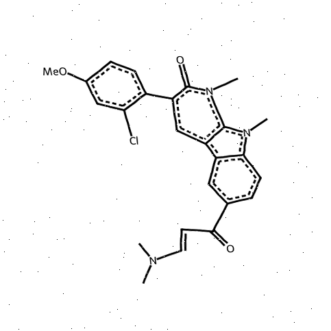 COc1ccc(-c2cc3c4cc(C(=O)C=CN(C)C)ccc4n(C)c3n(C)c2=O)c(Cl)c1